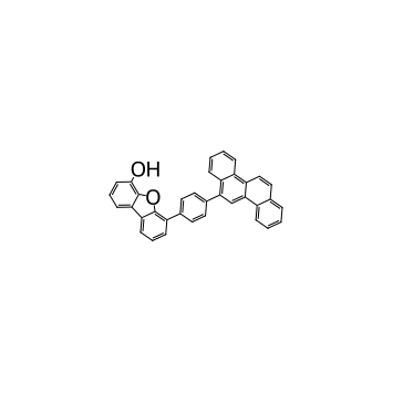 Oc1cccc2c1oc1c(-c3ccc(-c4cc5c6ccccc6ccc5c5ccccc45)cc3)cccc12